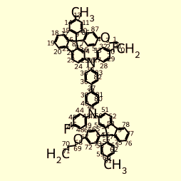 C=CCOc1ccc(C2(c3ccc(C)cc3)c3ccccc3-c3ccc(N(c4ccc(F)cc4)c4ccc(-c5ccc(N(c6ccc(F)cc6)c6ccc7c(c6)C(c6ccc(C)cc6)(c6ccc(OCC=C)cc6)c6ccccc6-7)cc5)cc4)cc32)cc1